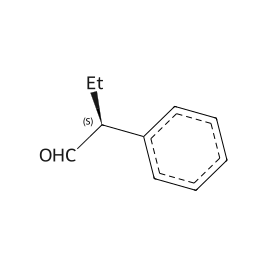 CC[C@H](C=O)c1ccccc1